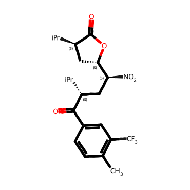 Cc1ccc(C(=O)[C@@H](C[C@@H]([C@@H]2C[C@@H](C(C)C)C(=O)O2)[N+](=O)[O-])C(C)C)cc1C(F)(F)F